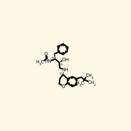 CC(=O)N[C@@H](Cc1ccccc1)[C@@H](O)CN[C@H]1CCOc2ccc(CC(C)(C)C)cc21